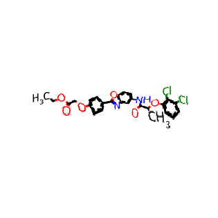 CCOC(=O)COc1ccc(-c2nc3cc(NC(=O)[C@H](C)Oc4cccc(Cl)c4Cl)ccc3o2)cc1